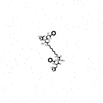 CCC(C)[C@H](NC(=O)[C@H](Cc1cnc[nH]1)NC(=O)c1ccccc1)C(=O)NCCCCCCCNC(=O)[C@H](NC(=O)[C@@H](Cc1cnc[nH]1)NC(=O)c1ccccc1)C(C)CC